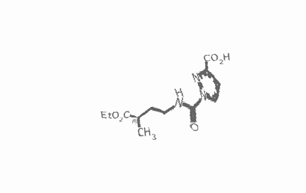 CCOC(=O)[C@H](C)CCNC(=O)n1ccc(C(=O)O)n1